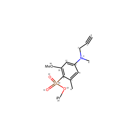 C#CCN(C)c1cc(C)c(S(=O)(=O)OC(C)C)c(OC)c1